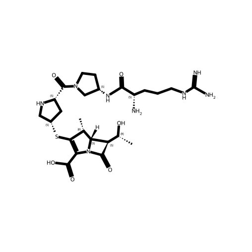 C[C@@H](O)[C@H]1C(=O)N2C(C(=O)O)=C(S[C@@H]3CN[C@H](C(=O)N4CC[C@H](NC(=O)[C@@H](N)CCCNC(=N)N)C4)C3)[C@H](C)[C@H]12